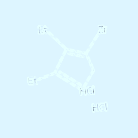 CCC1=CC[C]([Zr])=C1CC.Cl.Cl